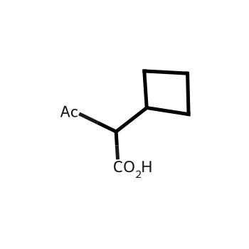 CC(=O)C(C(=O)O)C1CCC1